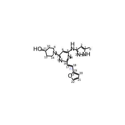 Cc1cc(Nc2cc(N3CCC(O)CC3)nc(/C=C/c3ccco3)n2)n[nH]1